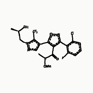 CON(C)C(=O)c1c(-c2c(F)cccc2Cl)noc1-c1cnn(C[C@@H](C)O)c1C(F)(F)F